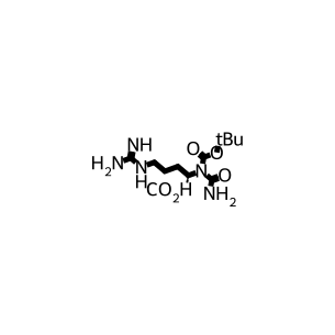 CC(C)(C)OC(=O)N(C(N)=O)[C@@H](CCCNC(=N)N)C(=O)O